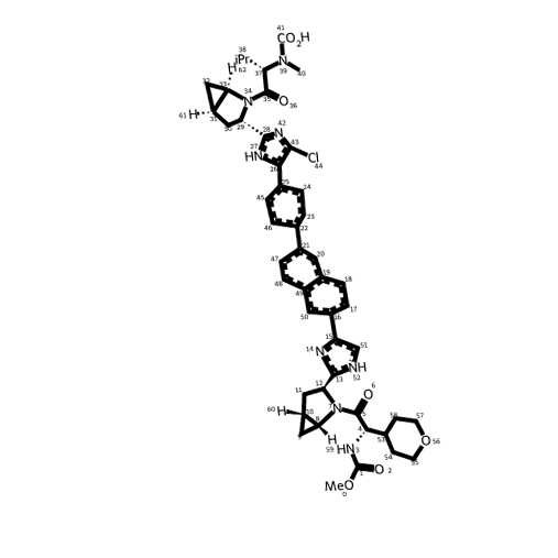 COC(=O)N[C@H](C(=O)N1[C@@H]2C[C@@H]2C[C@H]1c1nc(-c2ccc3cc(-c4ccc(-c5[nH]c([C@@H]6C[C@H]7C[C@H]7N6C(=O)[C@H](C(C)C)N(C)C(=O)O)nc5Cl)cc4)ccc3c2)c[nH]1)C1CCOCC1